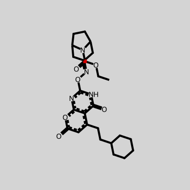 CCOC(=O)N1C2CCC1CC(=NOc1nc3oc(=O)cc(CCC4CCCCC4)c3c(=O)[nH]1)C2